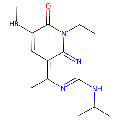 CBc1cc2c(C)nc(NC(C)C)nc2n(CC)c1=O